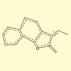 C=c1oc2c(ccc3ccccc32)/c1=C/C